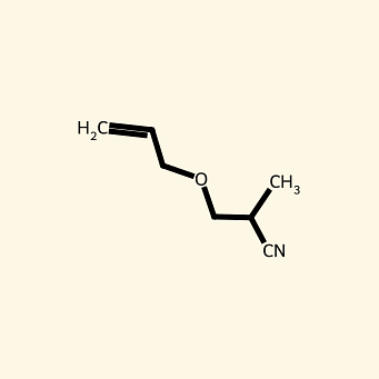 C=CCOCC(C)C#N